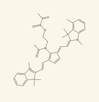 C=C(C)C(=O)OCCN(C(C)=O)C1=C(/C=C/C2=[N+](C)c3ccccc3C2(C)C)C=C/C1=C\C=C1\N(C)c2cccc(C)c2C1(C)C